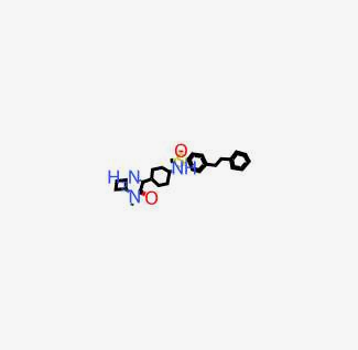 C=S(=O)(NC1CCC([C@H](N)C(=O)N(C)C2CCC2)CC1)c1ccc(CCc2ccccc2)cc1